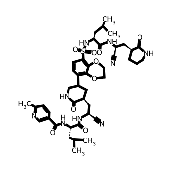 Cc1ccc(C(=O)N[C@@H](CC(C)C)C(=O)N[C@H](C#N)C[C@@H]2CC(c3ccc(S(=O)(=O)N[C@@H](CC(C)C)C(=O)N[C@H](C#N)C[C@@H]4CCCNC4=O)c4c3OCCO4)CNC2=O)cn1